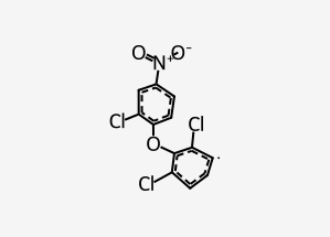 O=[N+]([O-])c1ccc(Oc2c(Cl)[c]ccc2Cl)c(Cl)c1